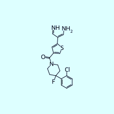 N=C/C(=C\N)c1cc(C(=O)N2CCC(F)(c3ccccc3Cl)CC2)cs1